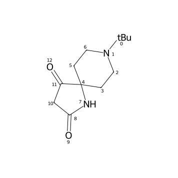 CC(C)(C)N1CCC2(CC1)NC(=O)CC2=O